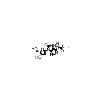 CC(=O)Nc1ncnc2c1[nH]c(=O)n2[C@H]1C[C@H](O)[C@@H](CO)O1